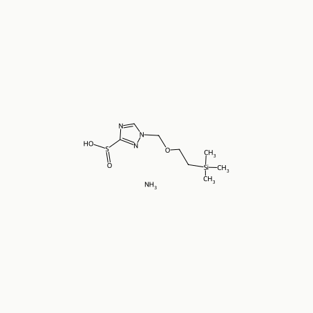 C[Si](C)(C)CCOCn1cnc(S(=O)O)n1.N